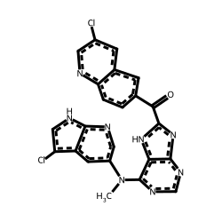 CN(c1cnc2[nH]cc(Cl)c2c1)c1ncnc2nc(C(=O)c3ccc4ncc(Cl)cc4c3)[nH]c12